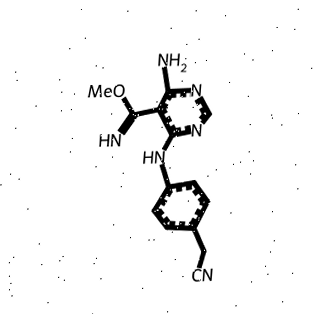 COC(=N)c1c(N)ncnc1Nc1ccc(CC#N)cc1